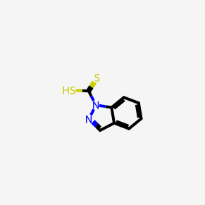 S=C(S)n1ncc2ccccc21